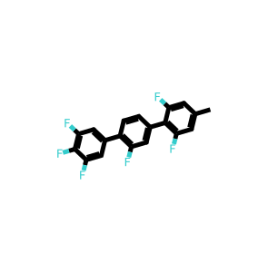 Cc1cc(F)c(-c2ccc(-c3cc(F)c(F)c(F)c3)c(F)c2)c(F)c1